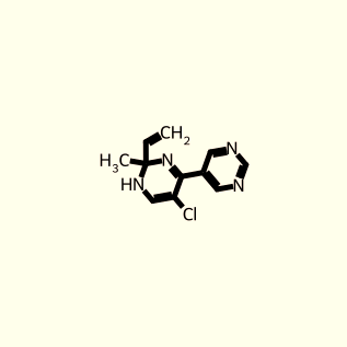 C=CC1(C)N=C(c2cncnc2)C(Cl)=CN1